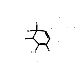 CC1=C(O)C(C)C(O)(Cl)C=C1